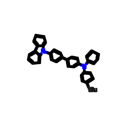 CC(C)(C)c1ccc(N(c2ccccc2)c2ccc(-c3ccc(-n4c5ccccc5c5ccccc54)cc3)cc2)cc1